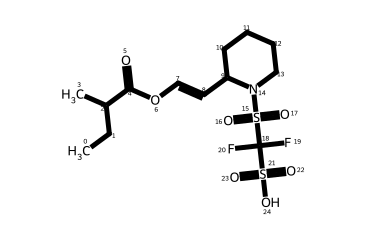 CCC(C)C(=O)O/C=C/C1CCCCN1S(=O)(=O)C(F)(F)S(=O)(=O)O